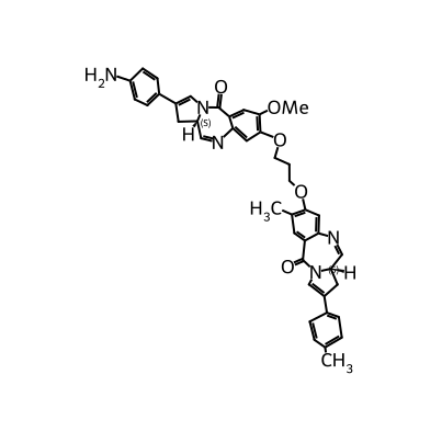 COc1cc2c(cc1OCCCOc1cc3c(cc1C)C(=O)N1C=C(c4ccc(C)cc4)C[C@H]1C=N3)N=C[C@@H]1CC(c3ccc(N)cc3)=CN1C2=O